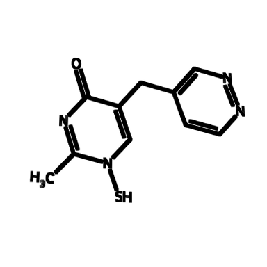 Cc1nc(=O)c(Cc2ccnnc2)cn1S